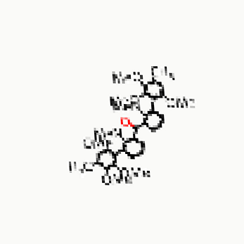 CNc1c(C(=O)c2cccc(-c3c(OC)cc(C)c(OC)c3OC)c2NC)cccc1-c1c(OC)cc(C)c(OC)c1OC